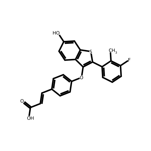 Cc1c(F)cccc1-c1sc2cc(O)ccc2c1Oc1ccc(/C=C/C(=O)O)cc1